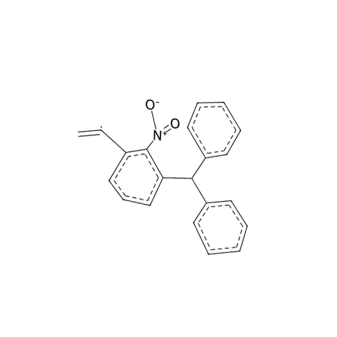 C=[C]c1cccc(C(c2ccccc2)c2ccccc2)c1[N+](=O)[O-]